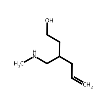 C=CCC(CCO)CNC